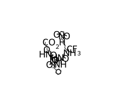 O=C(O)CCOCNC(=O)CNC(=O)[C@H](Cc1ccccc1)NC(=O)CNC(=O)CNC(CCCCCN1C(=O)C=CC1=O)C(F)(F)F